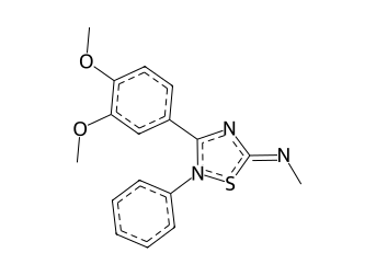 CN=c1nc(-c2ccc(OC)c(OC)c2)n(-c2ccccc2)s1